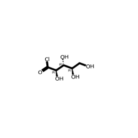 O=C(Cl)[C@H](O)[C@H](O)[C@H](O)CO